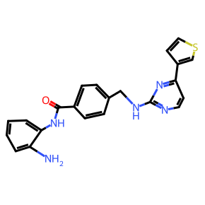 Nc1ccccc1NC(=O)c1ccc(CNc2nccc(-c3ccsc3)n2)cc1